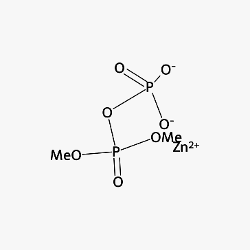 COP(=O)(OC)OP(=O)([O-])[O-].[Zn+2]